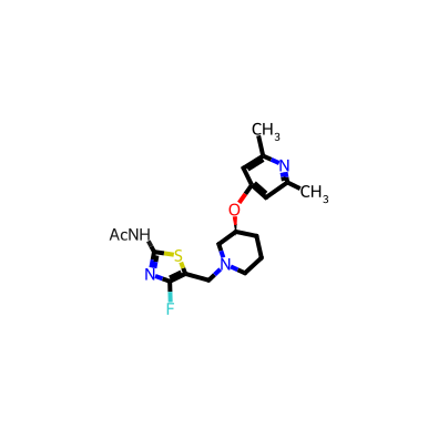 CC(=O)Nc1nc(F)c(CN2CCC[C@H](Oc3cc(C)nc(C)c3)C2)s1